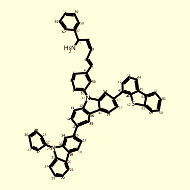 NC(/C=C\C=C\c1cccc(-n2c3ccc(-c4ccc5c6ccccc6n(-c6ccccc6)c5c4)cc3c3ccc(-c4cccc5c4sc4ccccc45)cc32)c1)c1ccccc1